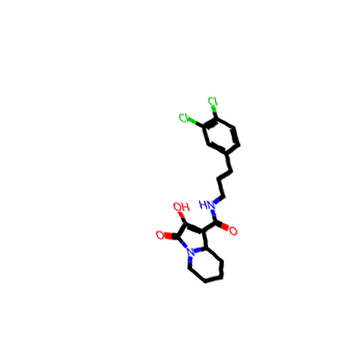 O=C(NCCCc1ccc(Cl)c(Cl)c1)C1=C(O)C(=O)N2CCCCC12